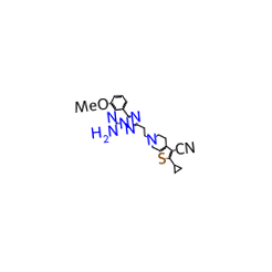 COc1cccc2c1nc(N)n1nc(CCN3CCc4c(sc(C5CC5)c4C#N)C3)nc21